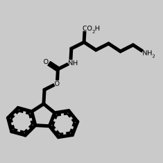 NCCCCC(CNC(=O)OCC1c2ccccc2-c2ccccc21)C(=O)O